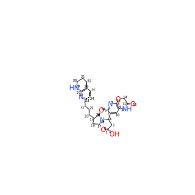 O=C(O)CC(c1cnc2c(c1)NC(=O)CO2)N1CCC(CCCc2ccc3c(n2)NCCC3)C1=O